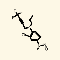 CCCN(CC#CC(F)(F)F)c1ccc(N(C)N=O)cc1Cl